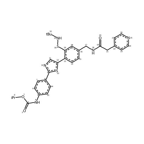 CC(C)OC(=O)Nc1ccc(-c2ncc(-c3ccc(CNC(=O)Cc4ccncc4)cc3SNC(C)(C)C)s2)cc1